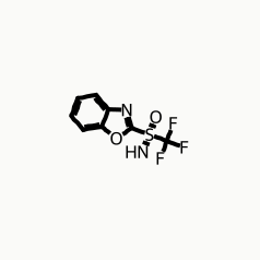 N=S(=O)(c1nc2ccccc2o1)C(F)(F)F